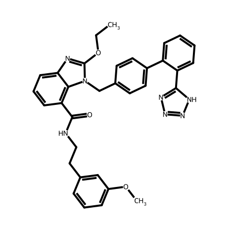 CCOc1nc2cccc(C(=O)NCCc3cccc(OC)c3)c2n1Cc1ccc(-c2ccccc2-c2nnn[nH]2)cc1